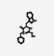 CC(C)(C)OC(=O)N[C@H](Cc1c[nH]c2ccccc12)C(=O)NCc1ccccc1